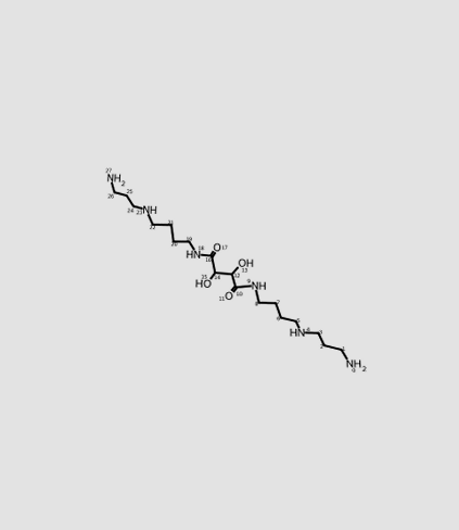 NCCCNCCCCNC(=O)C(O)C(O)C(=O)NCCCCNCCCN